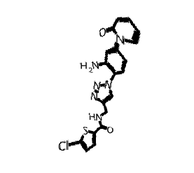 Nc1cc(-n2ccccc2=O)ccc1-n1cc(CNC(=O)c2ccc(Cl)s2)nn1